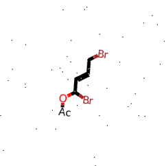 CC(=O)OC(Br)C=CCBr